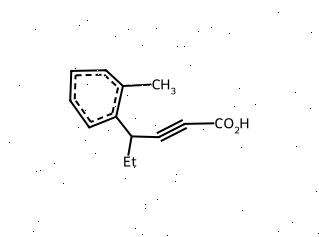 CCC(C#CC(=O)O)c1ccccc1C